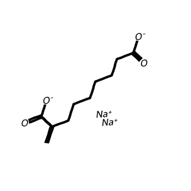 C=C(CCCCCCC(=O)[O-])C(=O)[O-].[Na+].[Na+]